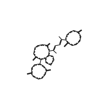 C=c1ccccc(=C)c(/C(C)=C/C=C(\C)c2c(=C)ccccc(=C)c(-c3ccc(=C)ccccc(=C)c3)c3ccccc23)ccc1